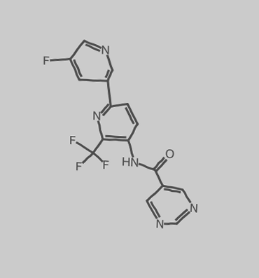 O=C(Nc1ccc(-c2cncc(F)c2)nc1C(F)(F)F)c1cncnc1